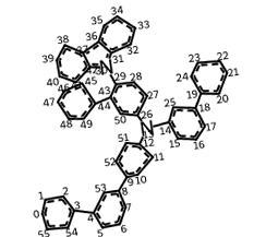 c1ccc(-c2cccc(-c3ccc(N(c4cccc(-c5ccccc5)c4)c4ccc(-n5c6ccccc6c6ccccc65)c(-c5ccccc5)c4)cc3)c2)cc1